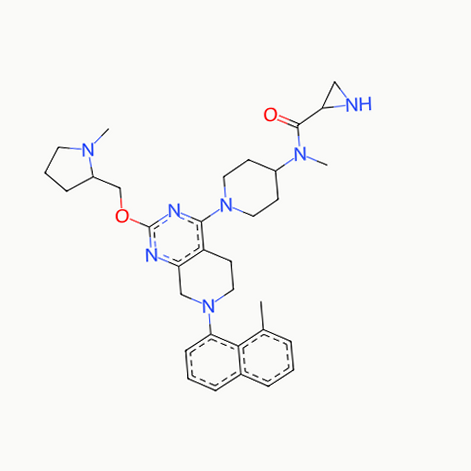 Cc1cccc2cccc(N3CCc4c(nc(OCC5CCCN5C)nc4N4CCC(N(C)C(=O)C5CN5)CC4)C3)c12